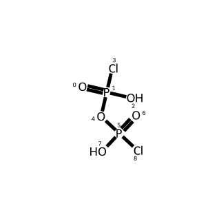 O=P(O)(Cl)OP(=O)(O)Cl